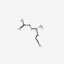 C=CC[C@@H](C)CCC(=O)O